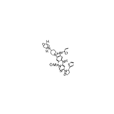 C=CC(=O)Nc1cc(Nc2cc(N3OCC[C@@H]3c3cccs3)ncn2)c(OC)cc1N1CCC(N2C[C@H]3C[C@@H]2CO3)CC1